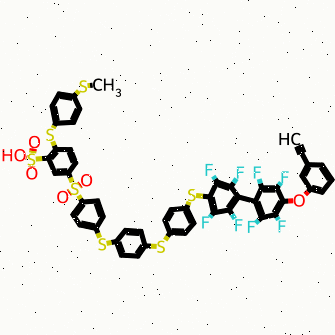 C#Cc1cccc(Oc2c(F)c(F)c(-c3c(F)c(F)c(Sc4ccc(Sc5ccc(Sc6ccc(S(=O)(=O)c7ccc(Sc8ccc(SC)cc8)c(S(=O)(=O)O)c7)cc6)cc5)cc4)c(F)c3F)c(F)c2F)c1